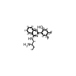 CC[C@@H](N)CNc1nc(-c2cc(F)c(F)cc2O)nc2ccccc12